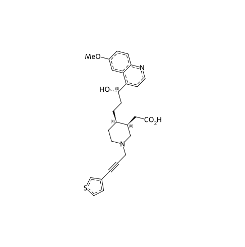 COc1ccc2nccc([C@@H](O)CC[C@@H]3CCN(CC#Cc4ccsc4)C[C@@H]3CC(=O)O)c2c1